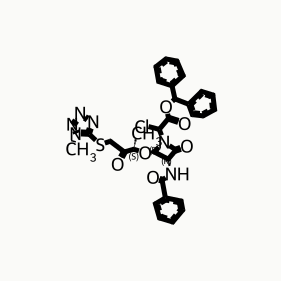 C[C@H](O[C@@H]1[C@@H](NC(=O)c2ccccc2)C(=O)N1C(Cl)C(=O)OC(c1ccccc1)c1ccccc1)C(=O)CSc1nnnn1C